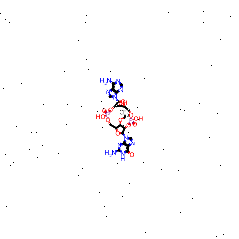 Nc1nc2c(ncn2C2OC3COP(=O)(O)OC4C(O)C(COP(=O)(O)OC2C3OCC(F)(F)F)OC4n2cnc3c(N)ncnc32)c(=O)[nH]1